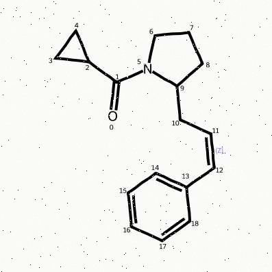 O=C(C1CC1)N1CCCC1C/C=C\c1ccccc1